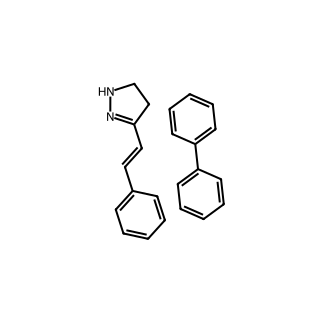 C(=Cc1ccccc1)C1=NNCC1.c1ccc(-c2ccccc2)cc1